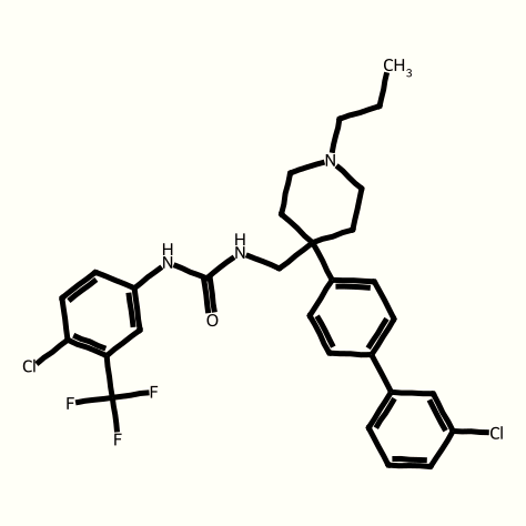 CCCN1CCC(CNC(=O)Nc2ccc(Cl)c(C(F)(F)F)c2)(c2ccc(-c3cccc(Cl)c3)cc2)CC1